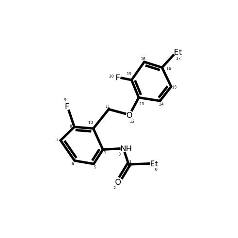 CCC(=O)Nc1cccc(F)c1COc1ccc(CC)cc1F